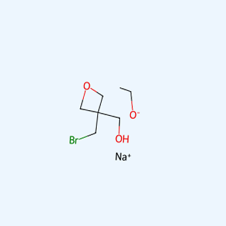 CC[O-].OCC1(CBr)COC1.[Na+]